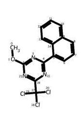 COc1nc(-c2cccc3ccccc23)nc(C(Cl)(Cl)Cl)n1